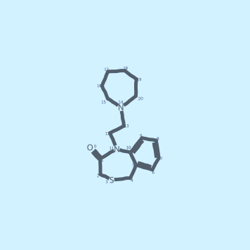 O=C1CSCc2ccccc2N1CCN1CCCCCC1